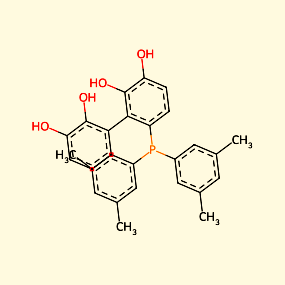 Cc1cc(C)cc(P(c2cc(C)cc(C)c2)c2ccc(O)c(O)c2-c2cccc(O)c2O)c1